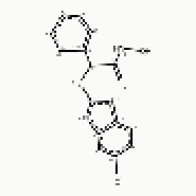 O=C(NO)C(Sc1nc2cc(Cl)ccc2s1)c1ccccc1